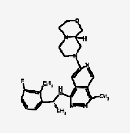 Cc1c(F)cccc1[C@@H](C)Nc1nnc(C)c2cnc(N3CCN4CCOC[C@@H]4C3)cc12